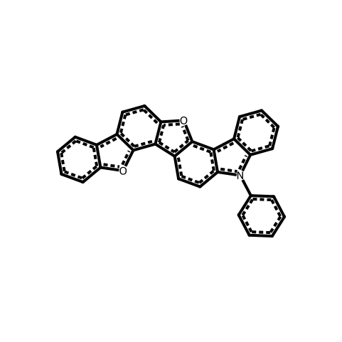 c1ccc(-n2c3ccccc3c3c4oc5ccc6c7ccccc7oc6c5c4ccc32)cc1